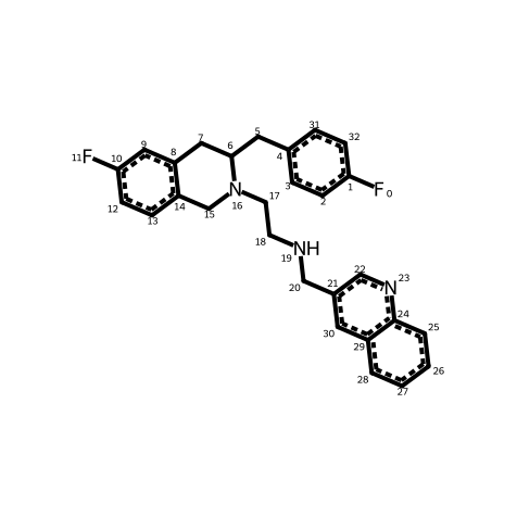 Fc1ccc(CC2Cc3cc(F)ccc3CN2CCNCc2cnc3ccccc3c2)cc1